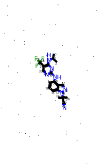 CC(C)Nc1nc(Nc2cccc3c2cnn3C(C)(C)C#N)ncc1C(F)(F)F